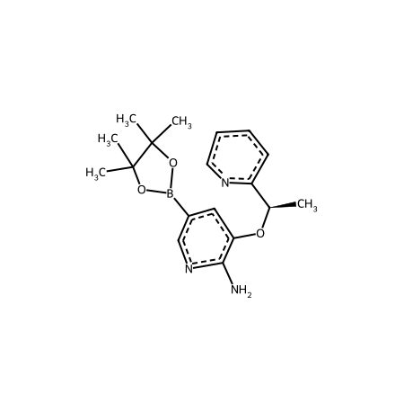 C[C@@H](Oc1cc(B2OC(C)(C)C(C)(C)O2)cnc1N)c1ccccn1